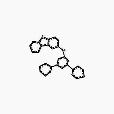 c1ccc(-c2cc(Nc3ccc4sc5ccccc5c4c3)cc(-c3ccccc3)c2)cc1